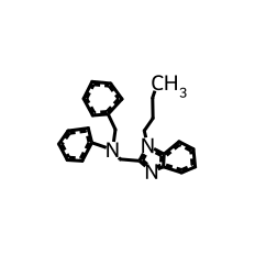 CCCCn1c(CN(Cc2ccccc2)c2ccccc2)nc2ccccc21